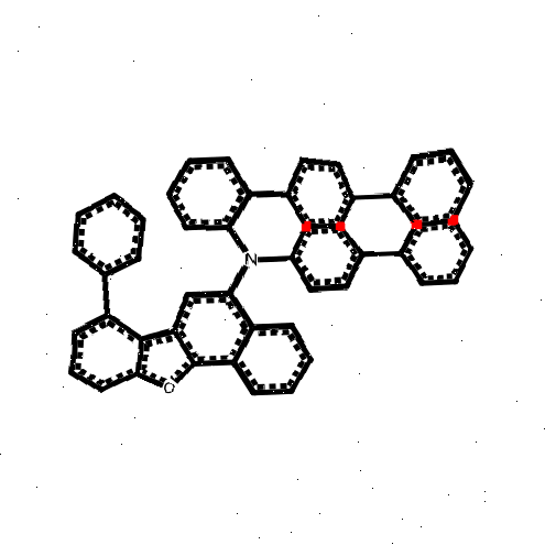 c1ccc(-c2ccc(-c3ccccc3N(c3ccc(-c4ccccc4)cc3)c3cc4c(oc5cccc(-c6ccccc6)c54)c4ccccc34)cc2)cc1